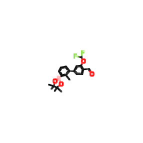 Cc1c(B2OC(C)(C)C(C)(C)O2)cccc1-c1ccc(C=O)c(OC(F)F)c1